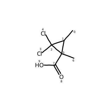 CC1C(Cl)(Cl)C1(C)C(=O)O